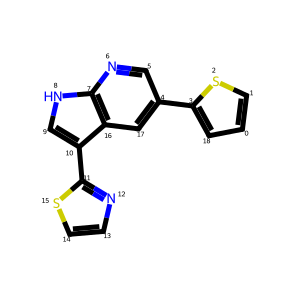 c1csc(-c2cnc3[nH]cc(-c4nccs4)c3c2)c1